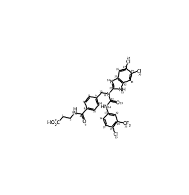 O=C(O)CCNC(=O)c1ccc(CN(C(=O)Nc2ccc(Cl)c(C(F)(F)F)c2)c2nc3cc(Cl)c(Cl)cc3[nH]2)cc1